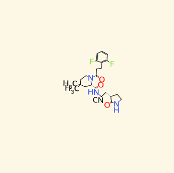 CC1(C)CCN(C(=O)CCc2c(F)cccc2F)[C@H](C(=O)N[C@H](C#N)C[C@@H]2CCNC2=O)C1